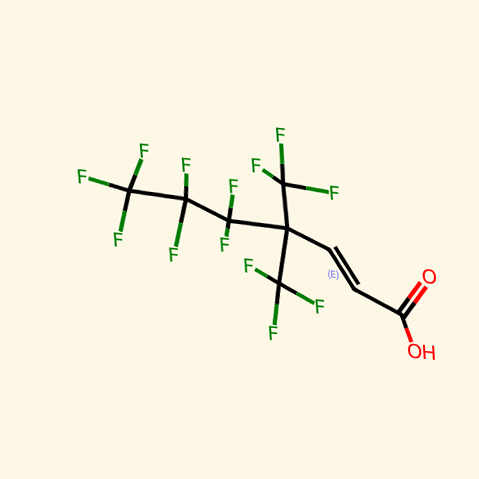 O=C(O)/C=C/C(C(F)(F)F)(C(F)(F)F)C(F)(F)C(F)(F)C(F)(F)F